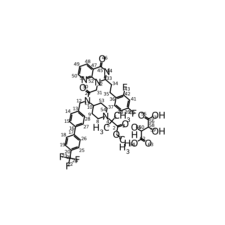 COC(=O)C(C)(C)N1CCC(N(Cc2ccc(-c3ccc(C(F)(F)F)cc3)cc2)C(=O)Cn2c(CCc3ccc(F)cc3F)nc(=O)c3cccnc32)CC1.O=C(O)C(O)C(O)C(=O)O